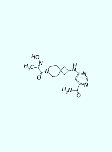 CC(=NO)C(=O)N1CCC2(CC1)CC(Nc1cc(C(N)=O)ncn1)C2